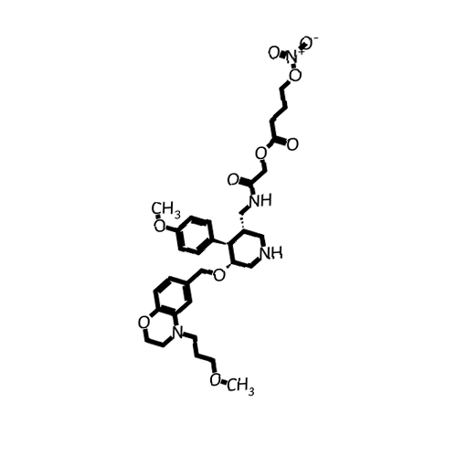 COCCCN1CCOc2ccc(CO[C@H]3CNC[C@@H](CNC(=O)COC(=O)CCCO[N+](=O)[O-])[C@@H]3c3ccc(OC)cc3)cc21